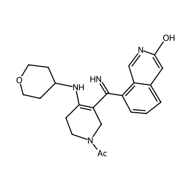 CC(=O)N1CCC(NC2CCOCC2)=C(C(=N)c2cccc3cc(O)ncc23)C1